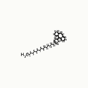 CCCCCCCCCCCCCCCCN1CCC(=C2c3ccccc3C=Cc3ccccc32)CC1